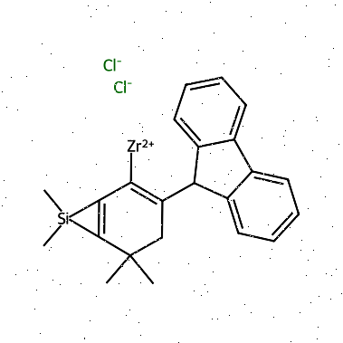 CC1(C)CC(C2c3ccccc3-c3ccccc32)=[C]([Zr+2])C2=C1[Si]2(C)C.[Cl-].[Cl-]